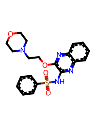 O=S(=O)(Nc1nc2ccccc2nc1OCCN1CCOCC1)c1ccccc1